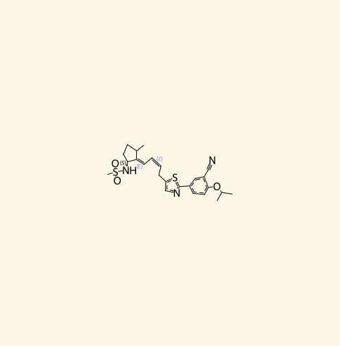 CC(C)Oc1ccc(-c2ncc(C/C=C\C=C3/C(C)CC[C@@H]3NS(C)(=O)=O)s2)cc1C#N